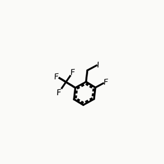 Fc1cccc(C(F)(F)F)c1CI